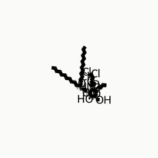 C=CCO[C@H]1O[C@H](CO)[C@@H](O)[C@H](OCC[C@H](CCCCCCCCCCC)OCCCCCCCCCCCC)[C@@H]1NC(=O)OCC(Cl)(Cl)Cl